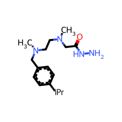 CC(C)c1ccc(CN(C)CCN(C)CC(=O)NN)cc1